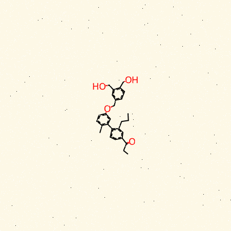 CCCc1cc(C(=O)CC)ccc1-c1cc(OCc2ccc(CO)c(CO)c2)ccc1C